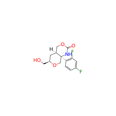 O=C1N[C@@]2(c3ccc(F)cc3F)CO[C@@H](CO)C[C@H]2CO1